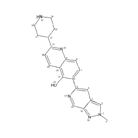 Cn1cc2cc(-c3ccc4nc(C5CCNCC5)ccc4c3O)ncc2n1